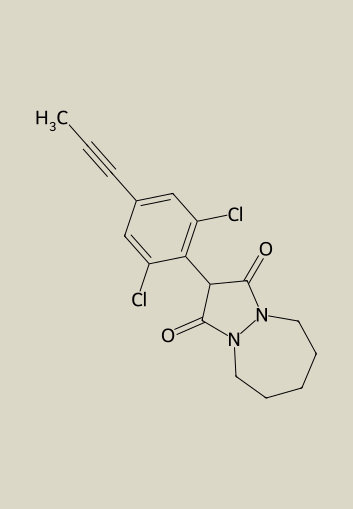 CC#Cc1cc(Cl)c(C2C(=O)N3CCCCCN3C2=O)c(Cl)c1